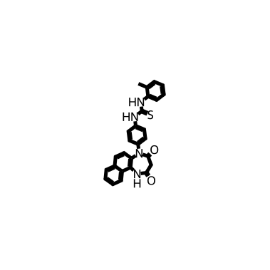 Cc1ccccc1NC(=S)Nc1ccc(N2C(=O)CC(=O)Nc3c2ccc2ccccc32)cc1